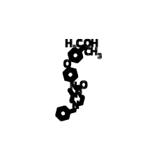 CC(C)(O)c1ccc(Oc2ccc(N3CC4CN(Cc5ccccc5)CCN4C3=O)cc2)cc1